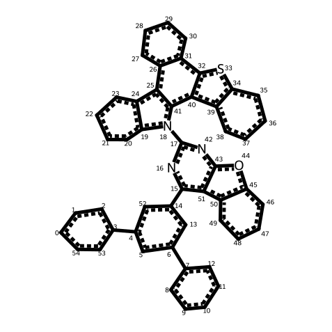 c1ccc(-c2cc(-c3ccccc3)cc(-c3nc(-n4c5ccccc5c5c6ccccc6c6sc7ccccc7c6c54)nc4oc5ccccc5c34)c2)cc1